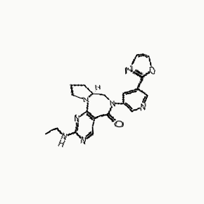 CCNc1ncc2c(n1)N1CCC[C@H]1CN(c1cncc(-c3ncco3)c1)C2=O